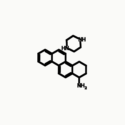 C1CNCCN1.NC1CCCc2c1ccc1c2ccc2ccccc21